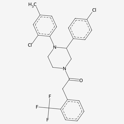 Cc1ccc(N2CCN(C(=O)Cc3ccccc3C(F)(F)F)CC2c2ccc(Cl)cc2)c(Cl)c1